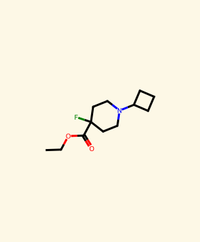 CCOC(=O)C1(F)CCN(C2CCC2)CC1